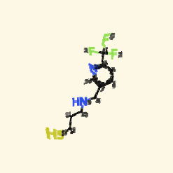 FC(F)(F)c1ccc(CNCCCS)cn1